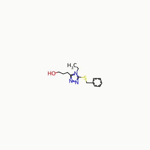 CCn1c(CCCO)nnc1SCc1ccccc1